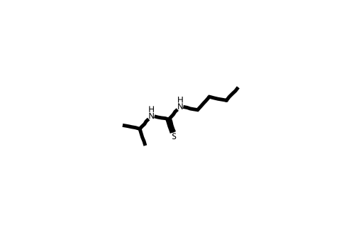 CCCCNC(=S)NC(C)C